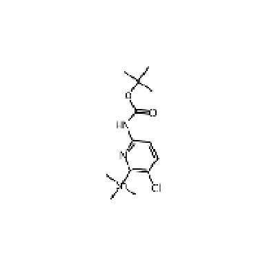 CC(C)(C)OC(=O)Nc1ccc(Cl)[c]([Sn]([CH3])([CH3])[CH3])n1